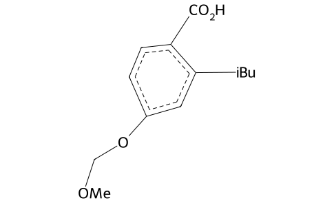 CCC(C)c1cc(OCOC)ccc1C(=O)O